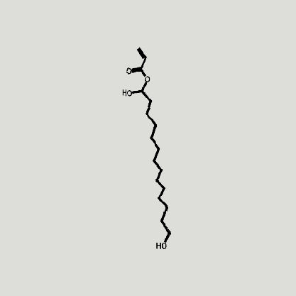 C=CC(=O)OC(O)CCCCCCCCCCCCCO